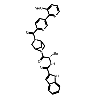 COc1cccnc1-c1ccc(C(=O)N2CC3CC2CN3C(=O)[C@@H](NC(=O)c2cc3ccccc3[nH]2)C(C)(C)C)nc1